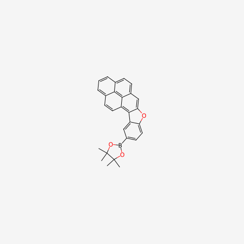 CC1(C)OB(c2ccc3oc4cc5ccc6cccc7ccc(c4c3c2)c5c67)OC1(C)C